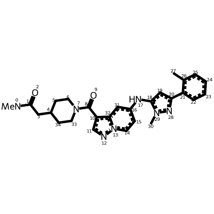 CNC(=O)CC1CCN(C(=O)c2cnn3ccc(Nc4cc(-c5ccccc5C)nn4C)cc23)CC1